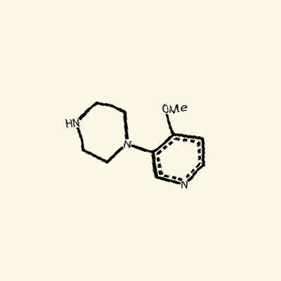 COc1ccncc1N1CCNCC1